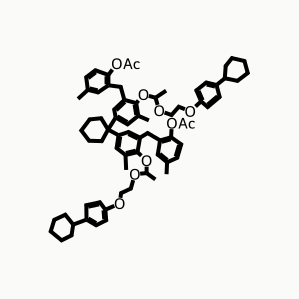 CC(=O)Oc1ccc(C)cc1Cc1cc(C2(c3cc(C)c(OC(C)OCCOc4ccc(C5CCCCC5)cc4)c(Cc4cc(C)ccc4OC(C)=O)c3)CCCCC2)cc(C)c1OC(C)OCCOc1ccc(C2CCCCC2)cc1